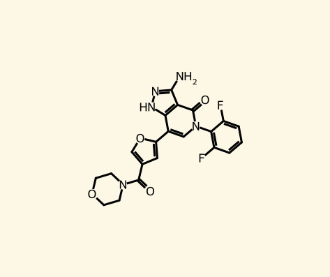 Nc1n[nH]c2c(-c3cc(C(=O)N4CCOCC4)co3)cn(-c3c(F)cccc3F)c(=O)c12